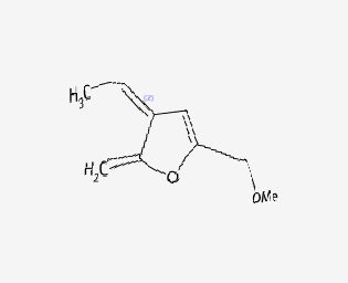 C=c1oc(COC)c/c1=C/C